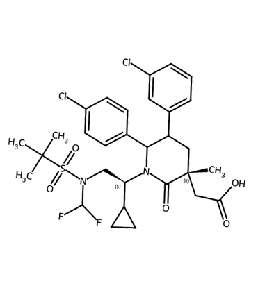 CC(C)(C)S(=O)(=O)N(C[C@H](C1CC1)N1C(=O)[C@@](C)(CC(=O)O)CC(c2cccc(Cl)c2)C1c1ccc(Cl)cc1)C(F)F